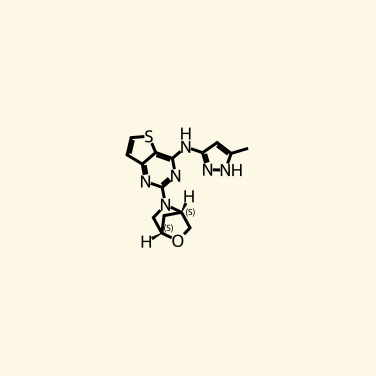 Cc1cc(Nc2nc(N3C[C@@H]4C[C@H]3CO4)nc3ccsc23)n[nH]1